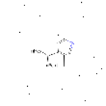 CCCCCCC(CCCCC)c1ccncc1C